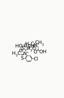 CCC([n+]1c(C)sc2ccc(Cl)cc21)S(=O)(=O)O.C[N+](C)(C)CC(=O)O